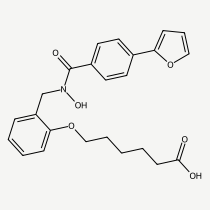 O=C(O)CCCCCOc1ccccc1CN(O)C(=O)c1ccc(-c2ccco2)cc1